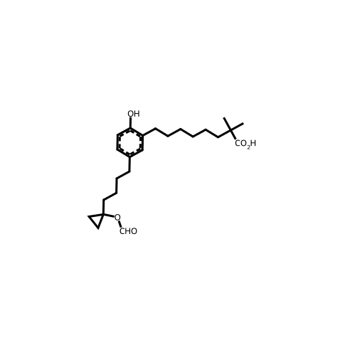 CC(C)(CCCCCCc1cc(CCCCC2(OC=O)CC2)ccc1O)C(=O)O